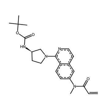 C=CC(=O)N(C)c1ccc2c(N3CC[C@@H](NC(=O)OC(C)(C)C)C3)nccc2c1